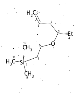 C=CC[C@H](CC)OCC[Si](C)(C)C